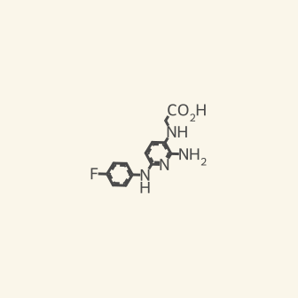 Nc1nc(Nc2ccc(F)cc2)ccc1NCC(=O)O